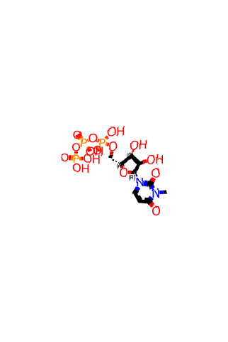 Cn1c(=O)ccn([C@@H]2O[C@H](COP(=O)(O)OP(=O)(O)OP(=O)(O)O)[C@H](O)C2O)c1=O